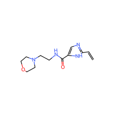 C=Cc1ncc(C(=O)NCCN2CCOCC2)[nH]1